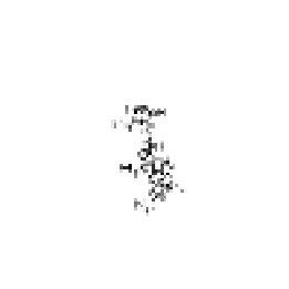 Cc1ccc(-c2ccccc2C(=O)N(C)CC(=O)NCCCCC(N)B(O)O)c(C)c1